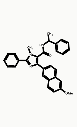 COc1ccc2cc(-c3nc(-c4ccccc4)n(C)c3C(=O)NC(C)c3ccccc3)ccc2c1